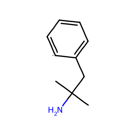 CC(C)(N)Cc1[c]cccc1